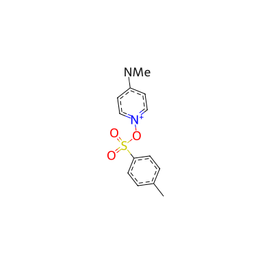 CNc1cc[n+](OS(=O)(=O)c2ccc(C)cc2)cc1